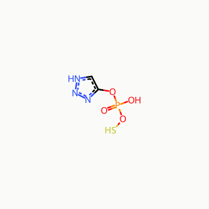 O=P(O)(OS)Oc1c[nH]nn1